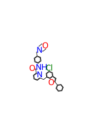 O=C(Nc1ccc(CN2CCOCC2)cc1)c1cccc(Cc2cc(Cl)cc3cc(-c4ccccc4)oc23)n1